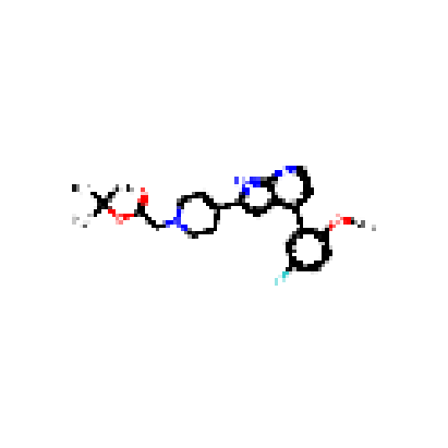 COc1ccc(F)cc1-c1ccnc2[nH]c(C3=CCN(CC(=O)OC(C)(C)C)CC3)cc12